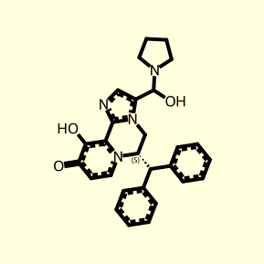 O=c1ccn2c(c1O)-c1ncc(C(O)N3CCCC3)n1C[C@@H]2C(c1ccccc1)c1ccccc1